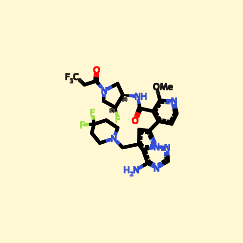 COc1nccc(-c2cc(CN3CCC(F)(F)CC3)c3c(N)ncnn23)c1C(=O)N[C@@H]1CN(C(=O)CC(F)(F)F)C[C@@H]1F